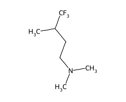 CC(CCN(C)C)C(F)(F)F